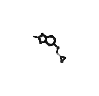 Cc1nc2cc(OC[C@@H]3CO3)ccc2s1